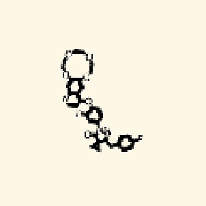 O=C(Cc1ccc(F)cc1)C1(C(=O)Nc2ccc(Oc3ccnc4cc5c(cc34)OCCOCCOCCO5)c(F)c2)CC1